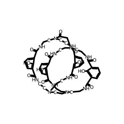 O=C1NCCN2CCNC(=O)c3cccc(c3O)C(=O)NCCN(CCNC(=O)c3cccc1c3O)CC(=O)N1CCNC(=O)c3cccc(c3O)C(=O)NCCN(CCNC(=O)c3cccc(c3O)C(=O)NCC1)CC2